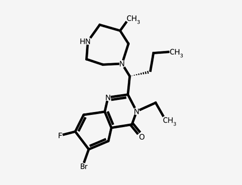 CCC[C@H](c1nc2cc(F)c(Br)cc2c(=O)n1CC)N1CCNCC(C)C1